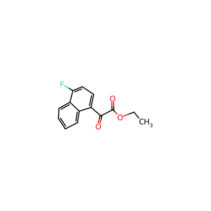 CCOC(=O)C(=O)c1ccc(F)c2ccccc12